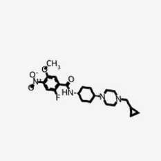 COc1cc(C(=O)N[C@H]2CC[C@H](N3CCN(CC4CC4)CC3)CC2)c(F)cc1[N+](=O)[O-]